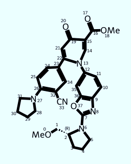 COC[C@H]1CCCN1c1nc2ccc(-n3cc(C(=O)OC)c(=O)cc3-c3ccc(N4CCCC4)c(C#N)c3)cc2o1